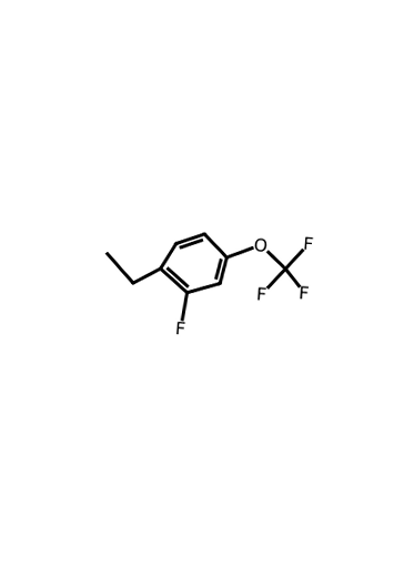 CCc1ccc(OC(F)(F)F)cc1F